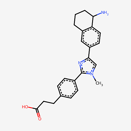 Cn1cc(-c2ccc3c(c2)CCCC3N)nc1-c1ccc(CCC(=O)O)cc1